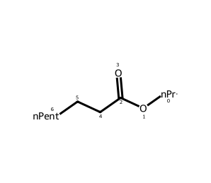 CC[CH]OC(=O)CCCCCCC